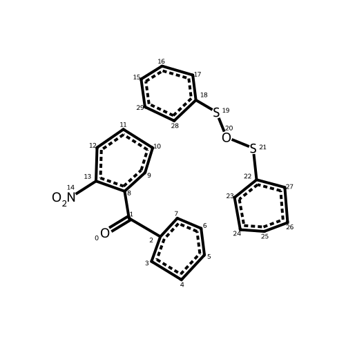 O=C(c1ccccc1)c1ccccc1[N+](=O)[O-].c1ccc(SOSc2ccccc2)cc1